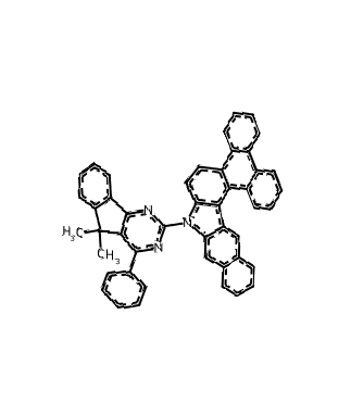 CC1(C)c2ccccc2-c2nc(-n3c4cc5ccccc5cc4c4c5c6ccccc6c6ccccc6c5ccc43)nc(-c3ccccc3)c21